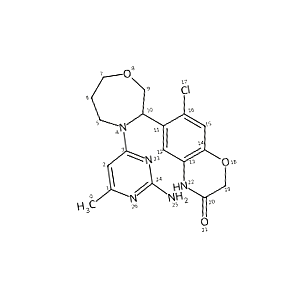 Cc1cc(N2CCCOCC2c2cc3c(cc2Cl)OCC(=O)N3)nc(N)n1